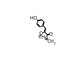 COC(=O)C(=Cc1ccc(O)cc1)OC